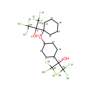 OC(C1CCC(OC2(C(O)(C(F)(F)F)C(F)(F)F)CCCCC2)CC1)(C(F)(F)F)C(F)(F)F